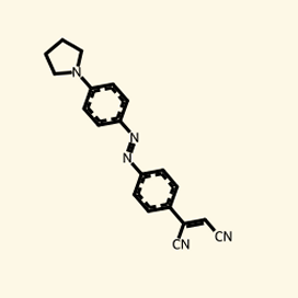 N#CC=C(C#N)c1ccc(N=Nc2ccc(N3CCCC3)cc2)cc1